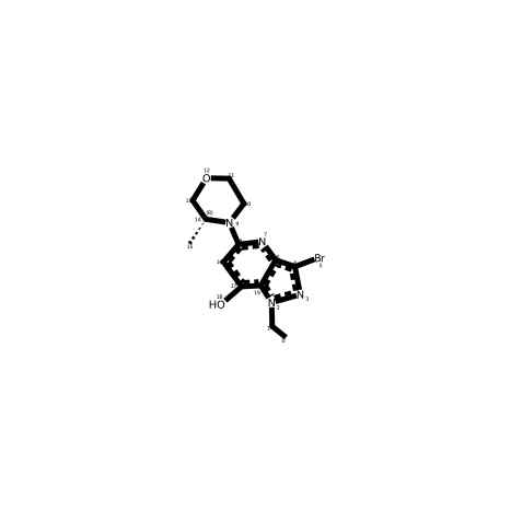 CCn1nc(Br)c2nc(N3CCOC[C@H]3C)cc(O)c21